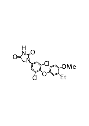 CCc1cc(Oc2c(Cl)cc(N3CC(=O)NC3=O)cc2Cl)ccc1OC